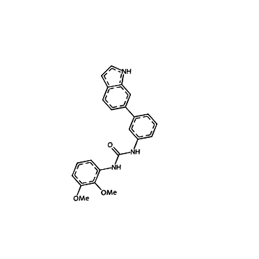 COc1cccc(NC(=O)Nc2cccc(-c3ccc4cc[nH]c4c3)c2)c1OC